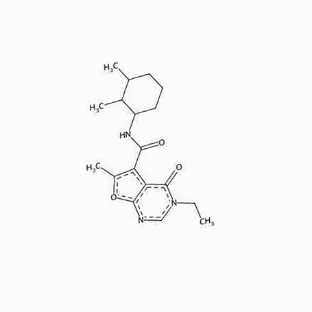 CCn1cnc2oc(C)c(C(=O)NC3CCCC(C)C3C)c2c1=O